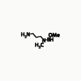 COBN(C)CCCN